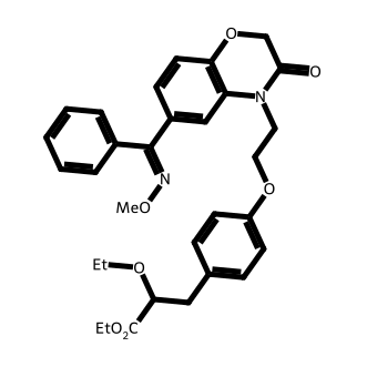 CCOC(=O)C(Cc1ccc(OCCN2C(=O)COc3ccc(C(=NOC)c4ccccc4)cc32)cc1)OCC